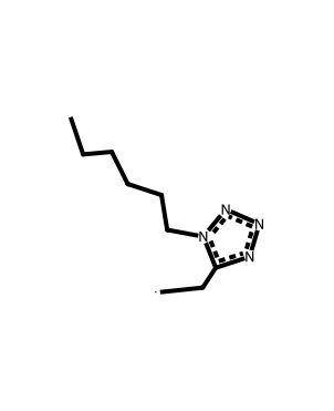 [CH2]Cc1nnnn1CCCCCC